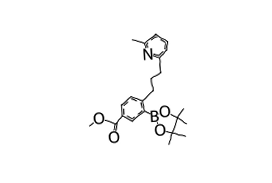 COC(=O)c1ccc(CCCc2cccc(C)n2)c(B2OC(C)(C)C(C)(C)O2)c1